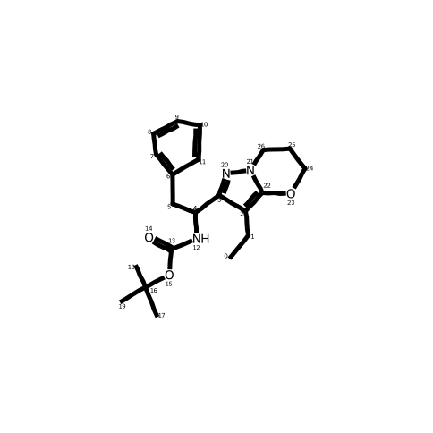 CCc1c(C(Cc2ccccc2)NC(=O)OC(C)(C)C)nn2c1OCCC2